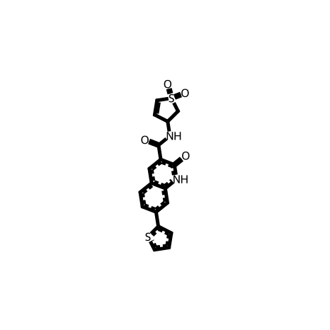 O=C(NC1C=CS(=O)(=O)C1)c1cc2ccc(-c3cccs3)cc2[nH]c1=O